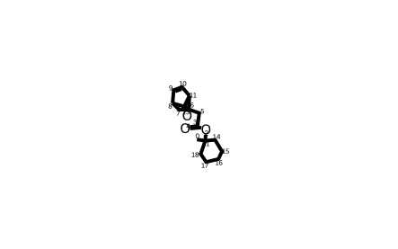 CC1(OC(=O)CC2CC3C=CC2C3=O)CCCCC1